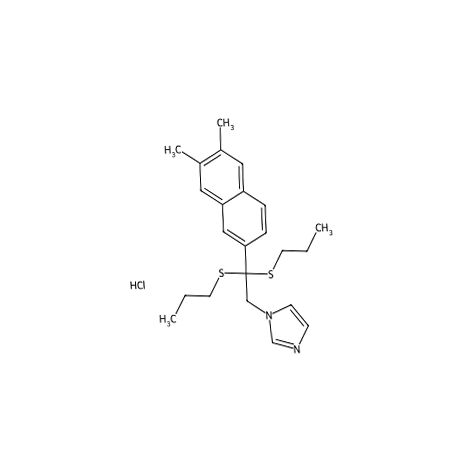 CCCSC(Cn1ccnc1)(SCCC)c1ccc2cc(C)c(C)cc2c1.Cl